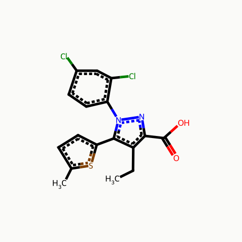 CCc1c(C(=O)O)nn(-c2ccc(Cl)cc2Cl)c1-c1ccc(C)s1